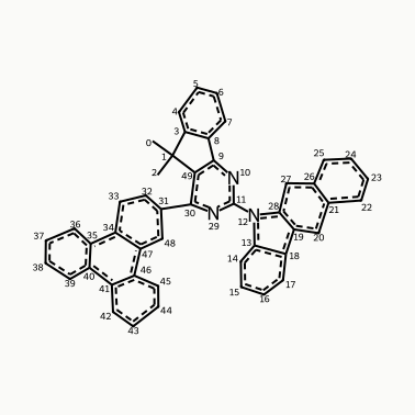 CC1(C)c2ccccc2-c2nc(-n3c4ccccc4c4cc5ccccc5cc43)nc(-c3ccc4c5ccccc5c5ccccc5c4c3)c21